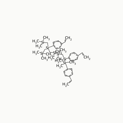 C=Cc1ccc([Si](C[Si](C)(C)C)(C[Si](C)(C)C)C[Si](C)(C)[Si](C)(C)C[Si](C)(c2ccc(C=C)cc2)[Si](C)(C)c2ccc(C=C)cc2)cc1